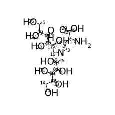 NC(CCN(C[C@H](O)[C@@H](O)[C@H](O)[C@H](O)CO)C[C@H](O)[C@@H](O)[C@H](O)[C@H](O)CO)C(=O)O